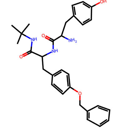 CC(C)(C)NC(=O)C(Cc1ccc(OCc2ccccc2)cc1)NC(=O)C(N)Cc1ccc(O)cc1